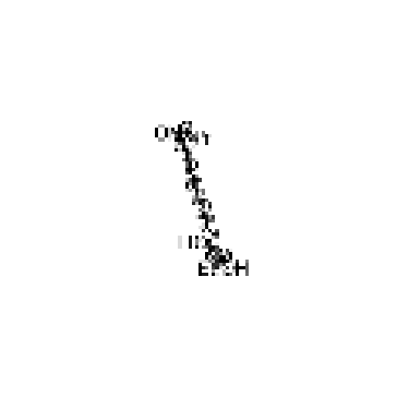 CCP(=O)(O)OCC(O)CCCCOCCOCCOCCOP(=O)(N=O)C(C)C